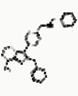 FC(F)(F)c1cccc2c(-c3ccc(CNCc4ccccc4)cc3)n(Cc3ccccc3)nc12